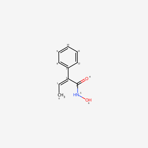 CC=C(C(=O)NO)c1ccccc1